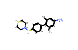 CCc1cc(N)cc(C(F)(F)F)c1-c1ccc(SN2CCSCC2)cc1